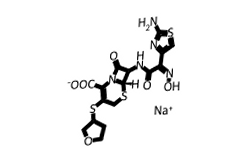 Nc1nc(/C(=N/O)C(=O)NC2C(=O)N3C(C(=O)[O-])=C(SC4CCOC4)CS[C@@H]23)cs1.[Na+]